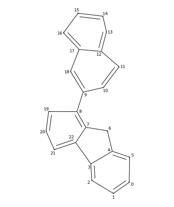 c1ccc2c(c1)Cc1c(-c3ccc4ccccc4c3)cccc1-2